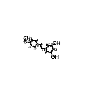 COc1ccc(C=Cc2cc(O)cc(O)c2)cc1